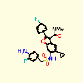 CNC(=O)c1c(-c2ccc(F)cc2)oc2cc(NS(=O)(=O)Cc3ccc(N)c(F)c3)c(C3CC3)cc12